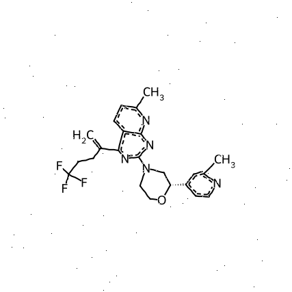 C=C(CCC(F)(F)F)c1nc(N2CCO[C@@H](c3ccnc(C)c3)C2)nc2nc(C)ccc12